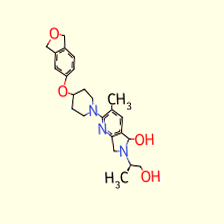 Cc1cc2c(nc1N1CCC(Oc3ccc4c(c3)COC4)CC1)CN([C@H](C)CO)C2O